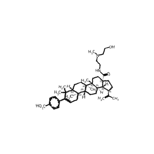 C=C(C)[C@@H]1CC[C@]2(C(=O)NCCN(C)CCO)CC[C@]3(C)[C@H](CC[C@@H]4[C@@]5(C)CC=C(c6ccc(C(=O)O)cc6)C(C)(C)[C@@H]5CC[C@]43C)[C@@H]12